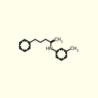 C=C(CCCc1ccccc1)Nc1cccc(C)c1